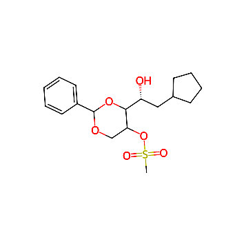 CS(=O)(=O)OC1COC(c2ccccc2)OC1[C@H](O)CC1CCCC1